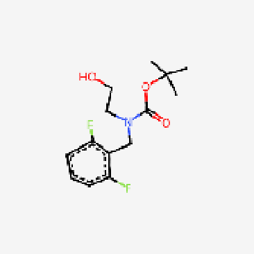 CC(C)(C)OC(=O)N(CCO)Cc1c(F)cccc1F